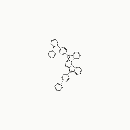 c1ccc(-c2ccc(-n3c4ccccc4c4c5c6ccccc6n(-c6ccc(-c7ccccc7-c7ccccc7)cc6)c5ccc43)cc2)cc1